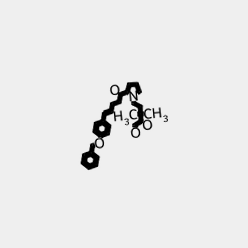 CC(C)(CCN1CCCC1C(=O)CCC=Cc1ccc(OCc2ccccc2)cc1)C(=O)C=O